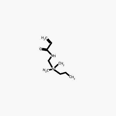 C=CC(=O)NC[N+](C)(C)CCC